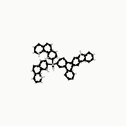 O=P(c1ccc2c(c1)c1ccccc1c1cc3c(cc21)sc1ccccc13)(c1ccc2ccc3cccnc3c2n1)c1ccc2ccc3cccnc3c2n1